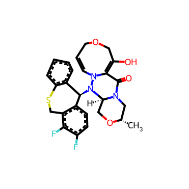 C[C@H]1CN2C(=O)/C3=C(\O)COC/C=C\N3N([C@@H]3c4ccccc4SCc4c3ccc(F)c4F)[C@@H]2CO1